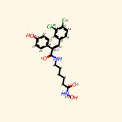 O=C(CCCCCNC(=O)/C(=C/c1ccc(F)c(Cl)c1)c1ccc(O)cc1)NO